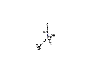 CCCCC[C@H](O)/C=C/[C@@H]1C(CCCCCCC(=O)O)=C(CCl)C[C@H]1O